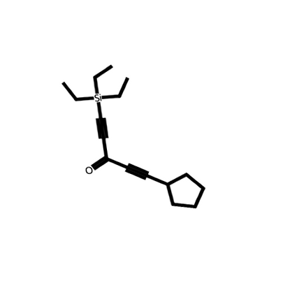 CC[Si](C#CC(=O)C#CC1CCCC1)(CC)CC